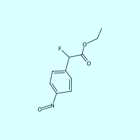 CCOC(=O)C(F)c1ccc(N=O)cc1